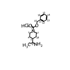 C[C@H](N)C1CCN(C(=O)OCc2ccccc2)CC1.Cl